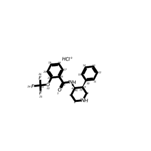 Cl.O=C(N[C@@H]1CCNC[C@@H]1c1ccccc1)c1ccccc1OC(F)(F)F